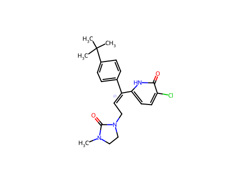 CN1CCN(C/C=C(/c2ccc(C(C)(C)C)cc2)c2ccc(Cl)c(=O)[nH]2)C1=O